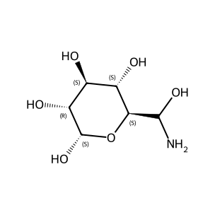 NC(O)[C@H]1O[C@H](O)[C@H](O)[C@@H](O)[C@@H]1O